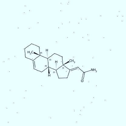 C[C@]12CCCCC1=CC[C@@H]1[C@@H]2CC[C@]2(C)C(=CC(N)=O)CC[C@@H]12